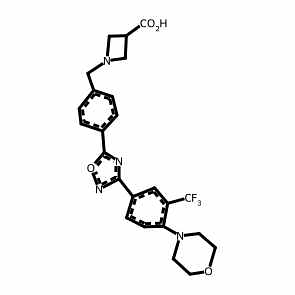 O=C(O)C1CN(Cc2ccc(-c3nc(-c4ccc(N5CCOCC5)c(C(F)(F)F)c4)no3)cc2)C1